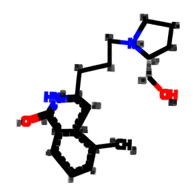 Cc1cccc2c(=O)[nH]c(CCCN3CCC[C@@H]3CO)cc12